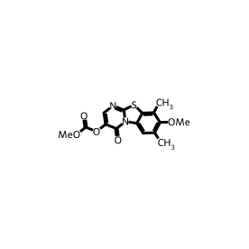 COC(=O)Oc1cnc2sc3c(C)c(OC)c(C)cc3n2c1=O